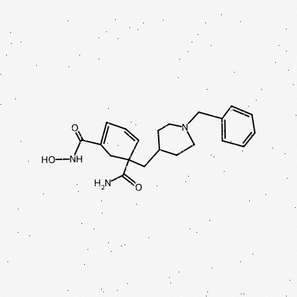 NC(=O)C1(CC2CCN(Cc3ccccc3)CC2)C=CC=C(C(=O)NO)C1